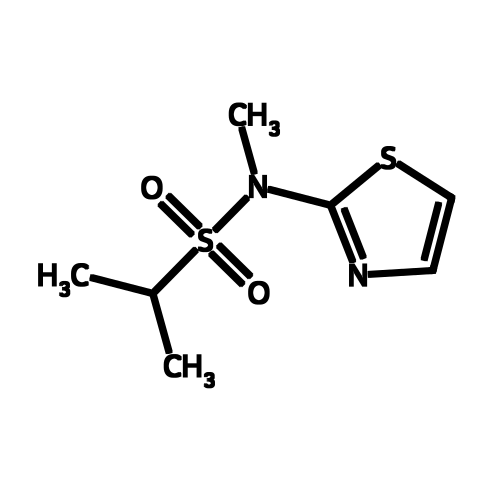 CC(C)S(=O)(=O)N(C)c1nccs1